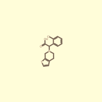 O=C(O)C(c1ccccc1Cl)N1CCc2ccsc2C1